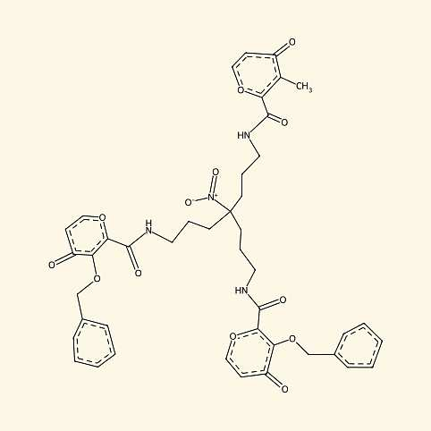 Cc1c(C(=O)NCCCC(CCCNC(=O)c2occc(=O)c2OCc2ccccc2)(CCCNC(=O)c2occc(=O)c2OCc2ccccc2)[N+](=O)[O-])occc1=O